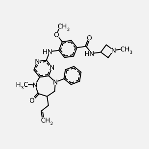 C=CCC1CN(c2ccccc2)c2nc(Nc3ccc(C(=O)NC4CN(C)C4)cc3OC)ncc2N(C)C1=O